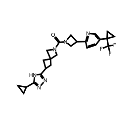 O=C(N1CC(c2ccc(C3(C(F)(F)F)CC3)cn2)C1)N1CC2(CC(c3nnc(C4CC4)[nH]3)C2)C1